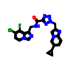 O=C(NCc1ncn2ccc(Cl)c(F)c12)c1nnn(Cc2cn3cc(C4CC4)ccc3n2)n1